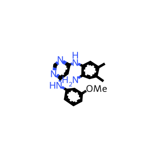 COc1cccc(Nc2cc(Nc3cc(C)c(C)cc3N)ncn2)c1